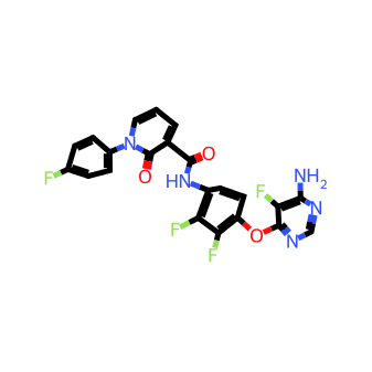 Nc1ncnc(Oc2ccc(NC(=O)c3cccn(-c4ccc(F)cc4)c3=O)c(F)c2F)c1F